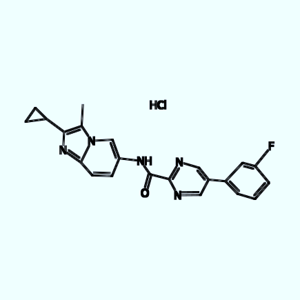 Cc1c(C2CC2)nc2ccc(NC(=O)c3ncc(-c4cccc(F)c4)cn3)cn12.Cl